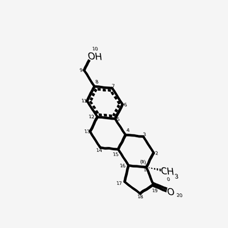 C[C@@]12CCC3c4ccc(CO)cc4CCC3C1CCC2=O